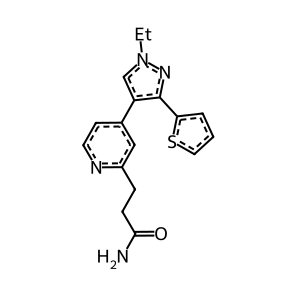 CCn1cc(-c2ccnc(CCC(N)=O)c2)c(-c2cccs2)n1